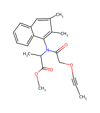 CC#COCC(=O)N(c1c(C)c(C)cc2ccccc12)C(C)C(=O)OC